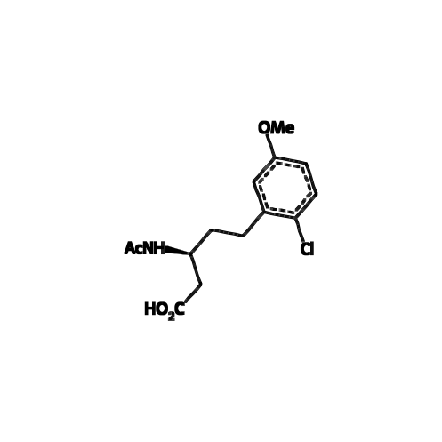 COc1ccc(Cl)c(CC[C@@H](CC(=O)O)NC(C)=O)c1